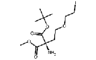 COC(=O)[C@@](N)(CCOCCI)C(=O)OC(C)(C)C